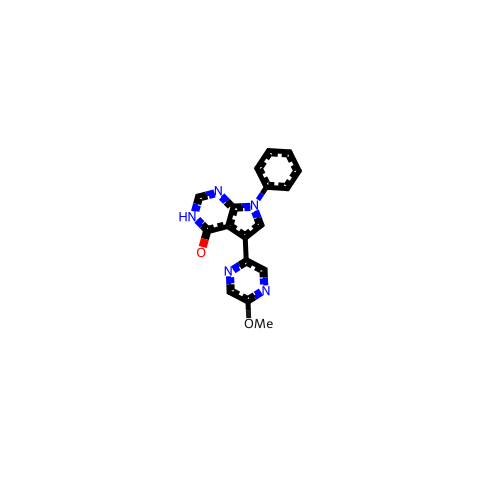 COc1cnc(-c2cn(-c3ccccc3)c3nc[nH]c(=O)c23)cn1